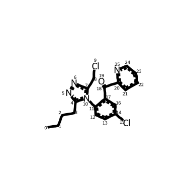 CCCCc1nnc(CCl)n1-c1ccc(Cl)cc1C(=O)c1ccccn1